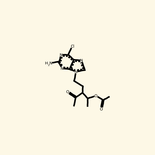 CC(=O)OC(C)C(CCn1cnc2c(Cl)nc(N)nc21)C(C)=O